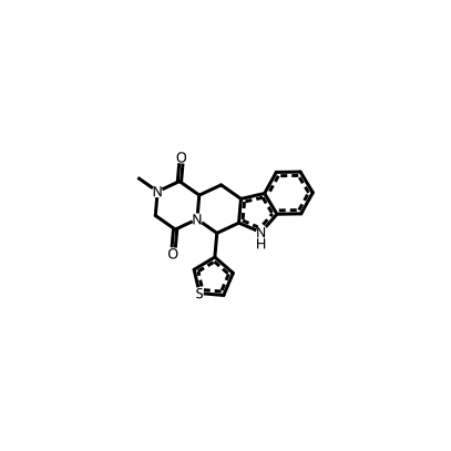 CN1CC(=O)N2C(Cc3c([nH]c4ccccc34)C2c2ccsc2)C1=O